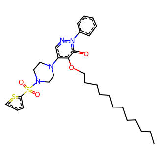 CCCCCCCCCCCCOc1c(N2CCN(S(=O)(=O)c3cccs3)CC2)cnn(-c2ccccc2)c1=O